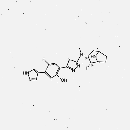 CN(c1nnc(-c2cc(F)c(-c3cn[nH]c3)cc2O)s1)[C@@H]1CC2CCC(N2)[C@@H]1F